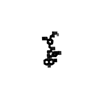 Cl.Cl.NN=Cc1ccc(CNC(=O)[C@@H]2CCCN2C(=O)[C@@H]2NCC[C@H]3CCCC[C@H]32)cc1O